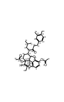 CC(=O)Oc1ccc2c3c1OC1C(N(CC(C)C)C(=O)CCc4ccc(C)c(C)c4)CC[C@@]4(OC(C)=O)[C@@H](C2)N(C)CC[C@]314